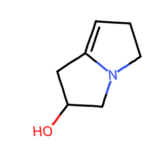 OC1CC2=CCCN2C1